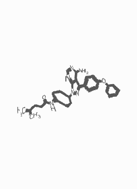 CC(C)CCC(=O)NC1CCC(n2nc(-c3ccc(Oc4ccccc4)cc3)c3c(N)ncnc32)CC1